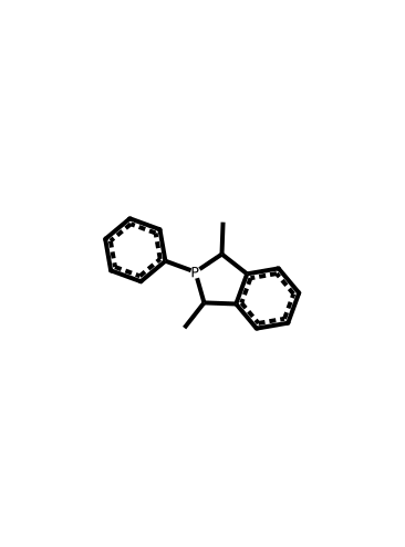 CC1c2ccccc2C(C)P1c1ccccc1